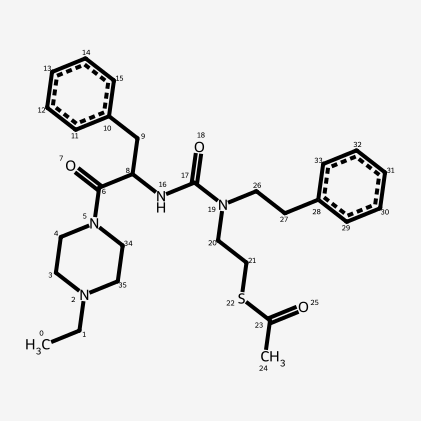 CCN1CCN(C(=O)C(Cc2ccccc2)NC(=O)N(CCSC(C)=O)CCc2ccccc2)CC1